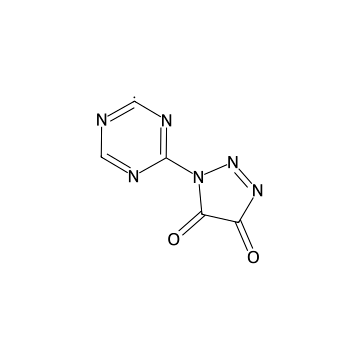 O=C1N=NN(c2n[c]ncn2)C1=O